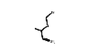 C=CC(F)SCBr